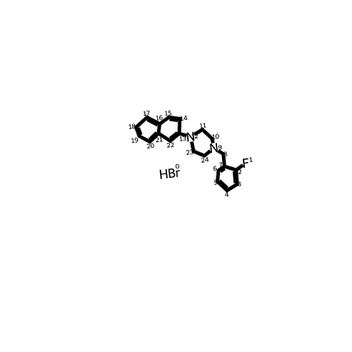 Br.Fc1ccccc1CN1CCN(c2ccc3ccccc3c2)CC1